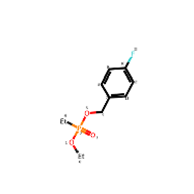 CCOP(=O)(CC)OCc1ccc(F)cc1